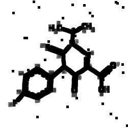 CC(C)N1N=C(C(=O)O)C(=O)C(c2ccc(F)cc2)C1=S